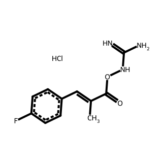 C/C(=C\c1ccc(F)cc1)C(=O)ONC(=N)N.Cl